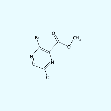 COC(=O)c1nc(Cl)[c]nc1Br